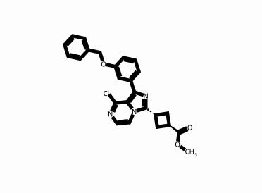 COC(=O)[C@H]1C[C@H](c2nc(-c3cccc(OCc4ccccc4)c3)c3c(Cl)nccn32)C1